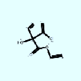 C=COC(=O)C(O)(C=C)C(=C)Cl